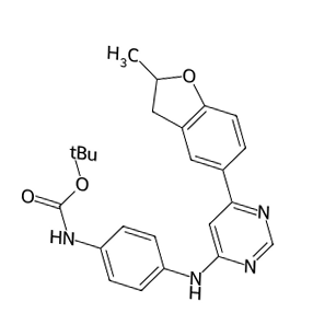 CC1Cc2cc(-c3cc(Nc4ccc(NC(=O)OC(C)(C)C)cc4)ncn3)ccc2O1